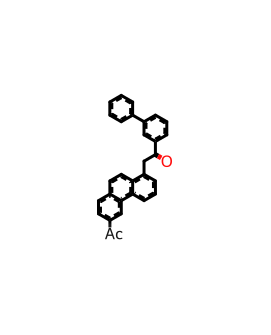 CC(=O)c1ccc2ccc3c(CC(=O)c4cccc(-c5ccccc5)c4)cccc3c2c1